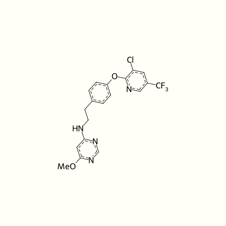 COc1cc(NCCc2ccc(Oc3ncc(C(F)(F)F)cc3Cl)cc2)ncn1